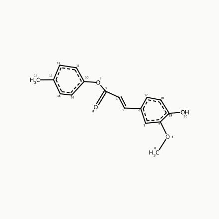 COc1cc(C=CC(=O)Oc2ccc(C)cc2)ccc1O